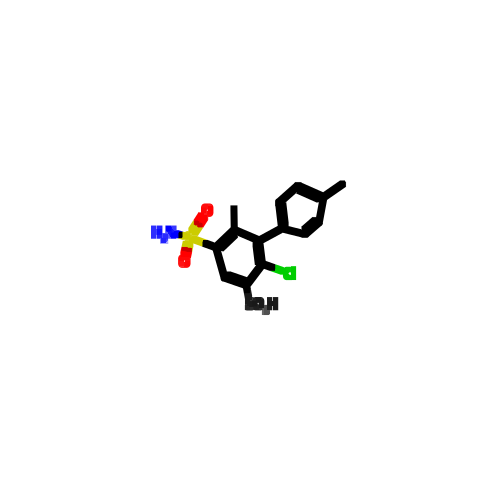 Cc1ccc(-c2c(C)c(S(N)(=O)=O)cc(S(=O)(=O)O)c2Cl)cc1